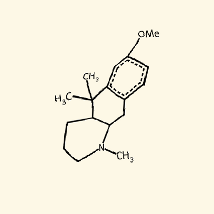 COc1ccc2c(c1)C(C)(C)C1CCCN(C)C1C2